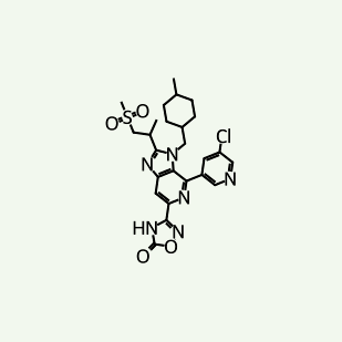 CC1CCC(Cn2c(C(C)CS(C)(=O)=O)nc3cc(-c4noc(=O)[nH]4)nc(-c4cncc(Cl)c4)c32)CC1